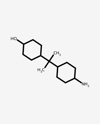 CC(C)(C1CCC(N)CC1)C1CCC(O)CC1